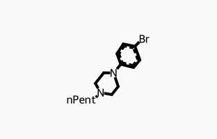 CCCCCN1CCN(c2ccc(Br)cc2)CC1